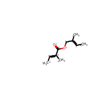 CC=C(C)COC(=O)/C(C)=C/C